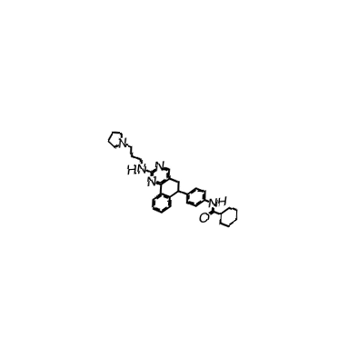 O=C(Nc1ccc(C2Cc3cnc(NCCCN4CCCC4)nc3-c3ccccc32)cc1)C1CCCCC1